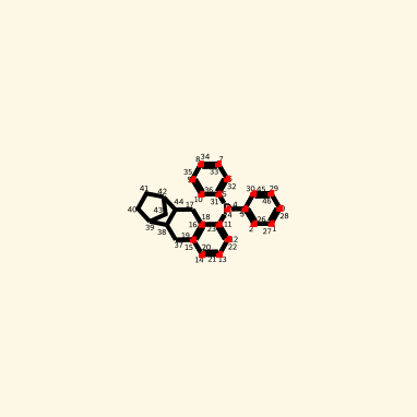 c1ccc(P(c2ccccc2)c2cccc3c2C2c4c(cccc4P(c4ccccc4)c4ccccc4)C3C3C4CCC(C4)C23)cc1